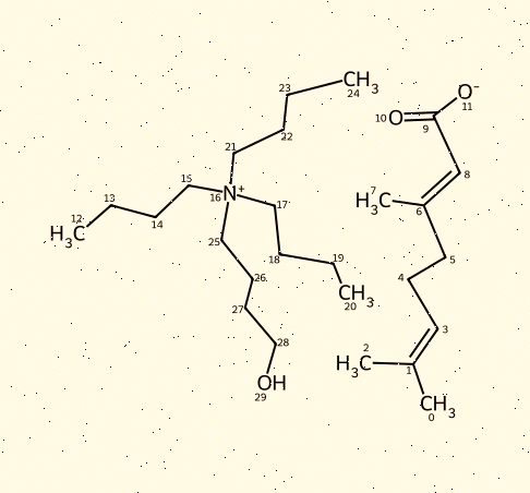 CC(C)=CCC/C(C)=C/C(=O)[O-].CCCC[N+](CCCC)(CCCC)CCCCO